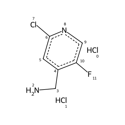 Cl.Cl.NCc1cc(Cl)ncc1F